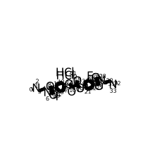 CN(C)CCN(C)S(=O)(=O)c1ccc(OC(=O)C(=O)Oc2ccc(S(=O)(=O)N(C)CCN(C)C)c(F)c2)cc1F.Cl.Cl